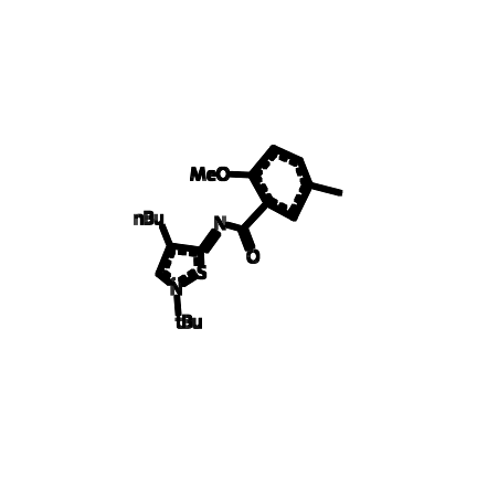 CCCCc1cn(C(C)(C)C)sc1=NC(=O)c1cc(C)ccc1OC